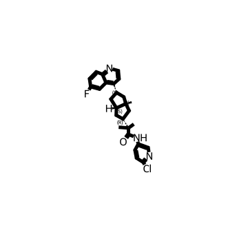 CC(C)(C(=O)Nc1ccc(Cl)nc1)[C@@H]1C[C@@H]2C[C@H](c3ccnc4ccc(F)cc34)C[C@]2(C)C1